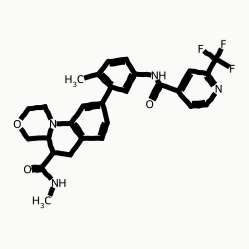 CNC(=O)C1Cc2ccc(-c3cc(NC(=O)c4ccnc(C(F)(F)F)c4)ccc3C)cc2N2CCOCC12